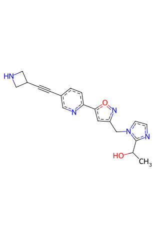 CC(O)c1nccn1Cc1cc(-c2ccc(C#CC3CNC3)cn2)on1